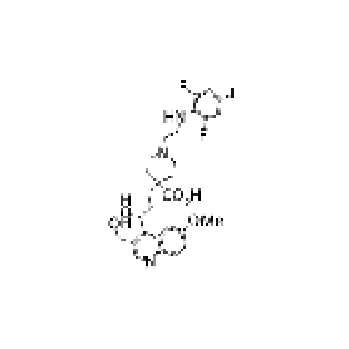 COc1ccc2ncc(CO)c(C(O)CCC3(C(=O)O)CCN(CCNc4c(F)cc(F)cc4F)CC3)c2c1